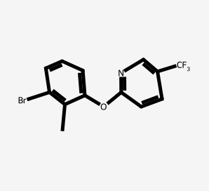 Cc1c(Br)cccc1Oc1ccc(C(F)(F)F)cn1